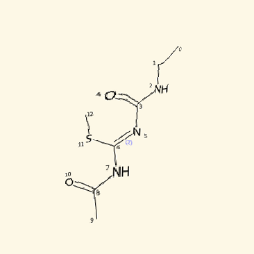 CCNC(=O)/N=C(/NC(C)=O)SC